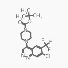 CC(C)(C)OC(=O)N1CCN(c2cnnc3cc(Cl)c(C(F)(F)F)cc23)CC1